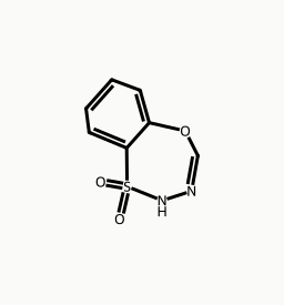 O=S1(=O)NN=COc2ccccc21